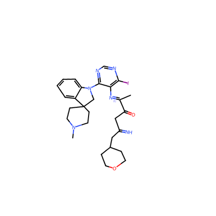 C/C(=N\c1c(I)ncnc1N1CC2(CCN(C)CC2)c2ccccc21)C(=O)CC(=N)CC1CCOCC1